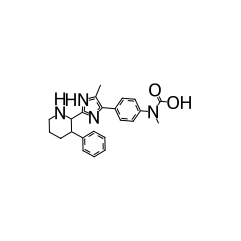 Cc1[nH]c(C2NCCCC2c2ccccc2)nc1-c1ccc(N(C)C(=O)O)cc1